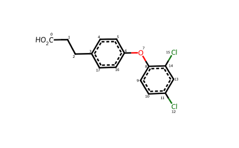 O=C(O)CCc1ccc(Oc2ccc(Cl)cc2Cl)cc1